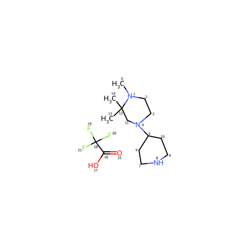 CN1CCN(C2CCNCC2)CC1(C)C.O=C(O)C(F)(F)F